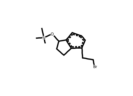 C[Si](C)(C)OC1CCc2c(CCBr)cccc21